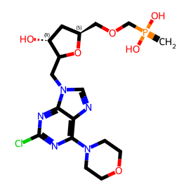 C=P(O)(O)COC[C@@H]1C[C@@H](O)C(Cn2cnc3c(N4CCOCC4)nc(Cl)nc32)O1